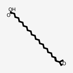 O=C(O)CCCCCCCCCCCCCCCCCCCCC=CC1COC1